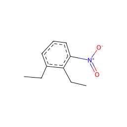 CCc1cccc([N+](=O)[O-])c1CC